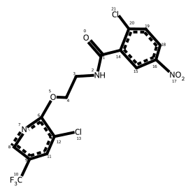 O=C(NCCOc1ncc(C(F)(F)F)cc1Cl)c1cc([N+](=O)[O-])ccc1Cl